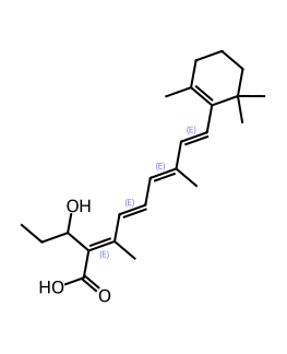 CCC(O)\C(C(=O)O)=C(C)/C=C/C=C(C)/C=C/C1=C(C)CCCC1(C)C